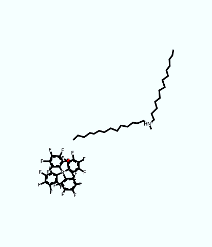 CCCCCCCCCCCCCC[NH+](C)CCCCCCCCCCCCCC.Fc1c(F)c(F)c([B-](c2c(F)c(F)c(F)c(F)c2F)(c2c(F)c(F)c(F)c(F)c2F)c2c(F)c(F)c(F)c(F)c2F)c(F)c1F